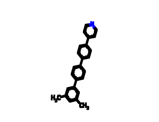 Cc1cc(C)cc(-c2ccc(-c3ccc(-c4ccncc4)cc3)cc2)c1